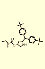 CCNC(=O)O[C@H]1CNC(C(c2ccc(C(C)(C)C)cc2)c2ccc(C(C)(C)C)cc2)C1